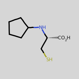 O=C(O)[C@H](CS)NC1CCCC1